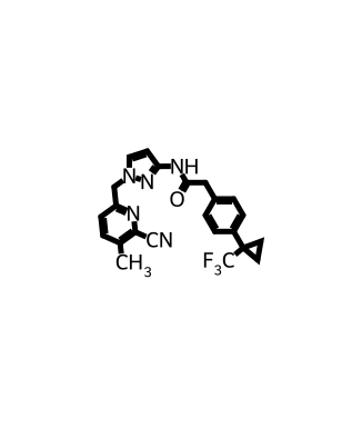 Cc1ccc(Cn2ccc(NC(=O)Cc3ccc(C4(C(F)(F)F)CC4)cc3)n2)nc1C#N